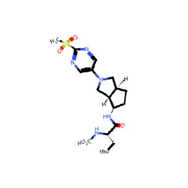 CC(C)(C)C[C@H](NC(=O)O)C(=O)N[C@H]1CC[C@@H]2CN(c3cnc(S(C)(=O)=O)nc3)C[C@@H]21